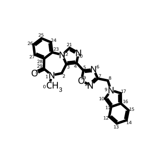 CN1Cc2c(-c3nc(Cn4cc5ccccc5c4)no3)ncn2-c2ccccc2C1=O